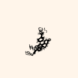 CN1CC(c2ccc([C@H]3C[C@@]4(C)[C@@H](CC[C@@]4(O)C#CC(C)(C)C)[C@@H]4CCC5=CC(=O)CCC5=C43)cc2)C1